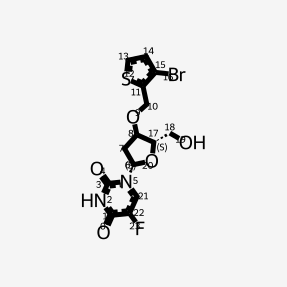 O=c1[nH]c(=O)n([C@@H]2CC(OCc3sccc3Br)[C@H](CO)O2)cc1F